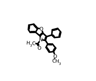 COc1ccc(-c2c(-c3ccccc3)c3oc4ccccc4c3n2C(C)=O)cc1